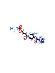 NC(=O)OCCCC(=O)N1CCC(NC(=O)c2ncn[nH]2)CC1